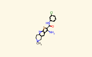 CN1CCc2nc3sc(C(=O)Nc4cccc(Cl)c4)c(N)c3cc2C1